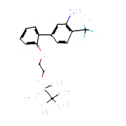 CC(C)(C)[Si](C)(C)OCCOc1ccccc1-c1ccc(C(F)(F)F)c(N)c1